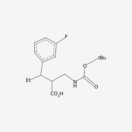 CCC(c1cccc(F)c1)C(CNC(=O)OC(C)(C)C)C(=O)O